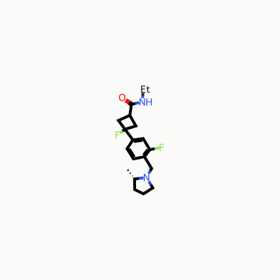 CCNC(=O)C1CC(F)(c2ccc(CN3CCC[C@@H]3C)c(F)c2)C1